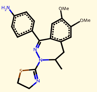 COc1cc2c(cc1OC)C(c1ccc(N)cc1)=NN(C1=NCCS1)C(C)C2